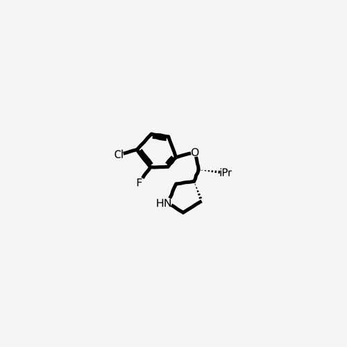 CC(C)[C@@H](Oc1ccc(Cl)c(F)c1)[C@@H]1CCNC1